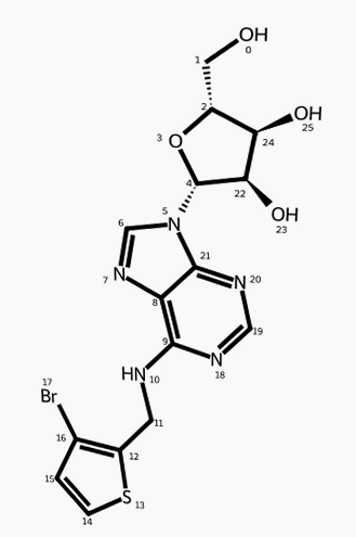 OC[C@H]1O[C@@H](n2cnc3c(NCc4sccc4Br)ncnc32)[C@H](O)[C@@H]1O